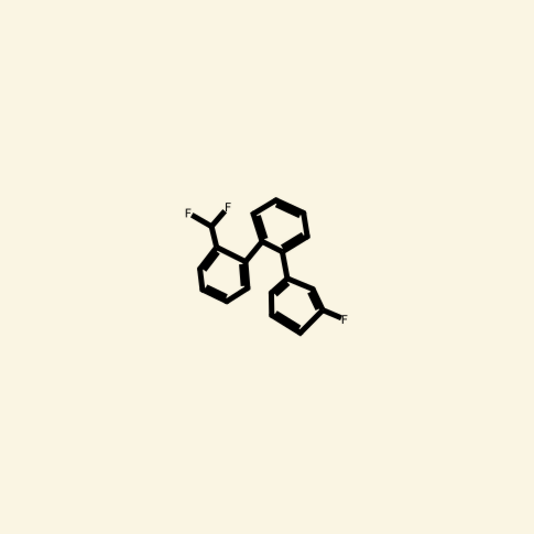 Fc1cccc(-c2ccccc2-c2ccccc2C(F)F)c1